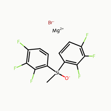 C[Si]([O-])(c1ccc(F)c(F)c1F)c1ccc(F)c(F)c1F.[Br-].[Mg+2]